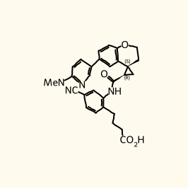 CNc1ccc(-c2ccc3c(c2)[C@]2(CCO3)C[C@H]2C(=O)Nc2cc(C#N)ccc2CCCC(=O)O)cn1